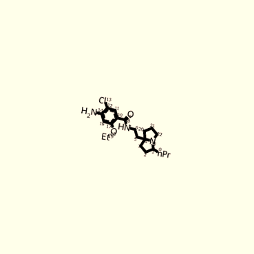 CCCC1CCC2(CCNC(=O)c3cc(Cl)c(N)cc3OCC)CCCN12